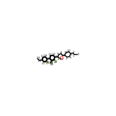 CCCC1CCC(C2CCC(c3ccc(-c4ccc(CC)cc4)c(C(F)F)c3F)CO2)CC1